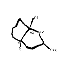 CC1C[C@@H]2CCC[C@@H]2N1